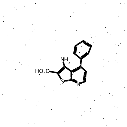 Nc1c(C(=O)O)sc2nccc(-c3ccccc3)c12